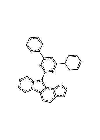 C1=CCC(c2cc(-c3ccccc3)nc(-n3c4ccccc4c4ccc5ccsc5c43)n2)C=C1